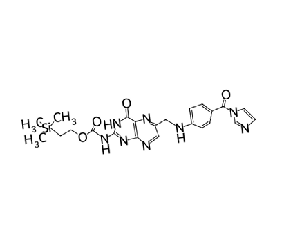 C[Si](C)(C)CCOC(=O)Nc1nc2ncc(CNc3ccc(C(=O)n4ccnc4)cc3)nc2c(=O)[nH]1